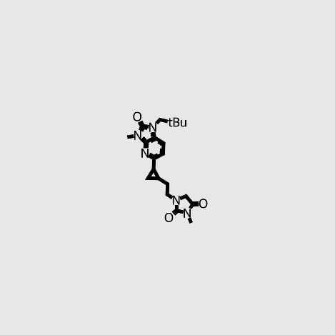 CN1C(=O)CN(CCC2CC2c2ccc3c(n2)n(C)c(=O)n3CC(C)(C)C)C1=O